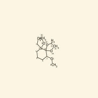 COC1CCC[Si](CO)(OC)C1(OC)OC